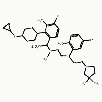 CCOC(=O)C(c1ccc(F)c(C)c1C1CCC(OC2CC2)CC1)N(C)CC[C@H](CCN1CCC(C)(C)C1)c1cc(Cl)ccc1C